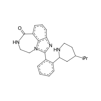 CC(C)C1CCNC(c2ccccc2-c2nc3cccc4c3n2CCNC4=O)C1